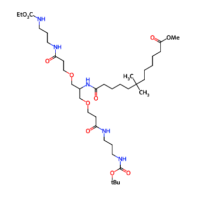 CCOC(=O)NCCCNC(=O)CCOCC(COCCC(=O)NCCCNC(=O)OC(C)(C)C)NC(=O)CCCCC(C)(C)CCCCCC(=O)OC